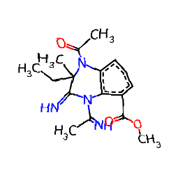 CCC1(C)C(=N)N(C(C)=N)c2c(C(=O)OC)cccc2N1C(C)=O